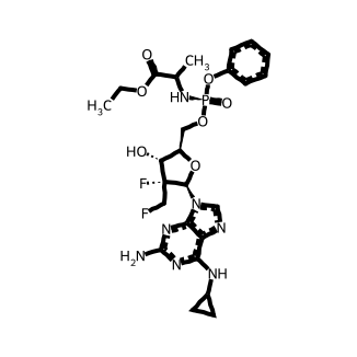 CCOC(=O)C(C)N[P@@](=O)(OC[C@H]1O[C@@H](n2cnc3c(NC4CC4)nc(N)nc32)[C@@](F)(CF)[C@@H]1O)Oc1ccccc1